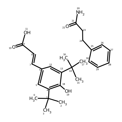 CC(C)(C)c1cc(C=CC(=O)O)cc(C(C)(C)C)c1O.NC(=O)CCc1ccccc1